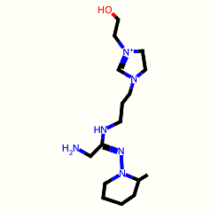 CC1CCCCN1/N=C(\CN)NCCCN1C=[N+](CCO)CC1